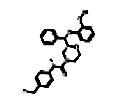 CCOc1ccccc1O[C@@H](c1ccccc1)[C@@H]1CN(C(=O)[C@@H](C)c2ccc(CC(C)C)cc2)CCO1